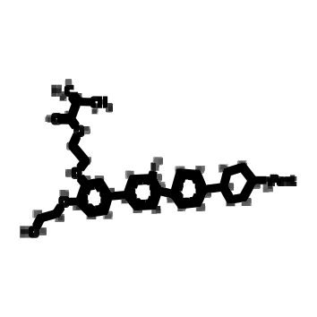 C=C(C)C(=O)OCCOc1cc(-c2ccc(-c3ccc(C4CCC(CCCCC)CC4)cc3)c(F)c2)ccc1OCCO